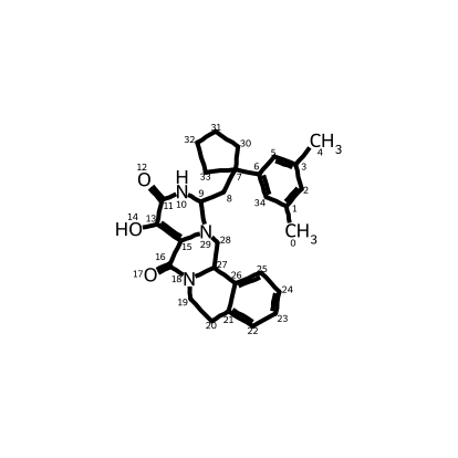 Cc1cc(C)cc(C2(CC3NC(=O)C(O)=C4C(=O)N5CCc6ccccc6C5CN43)CCCC2)c1